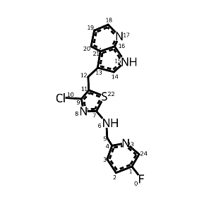 Fc1ccc(CNc2nc(Cl)c(Cc3c[nH]c4ncccc34)s2)nc1